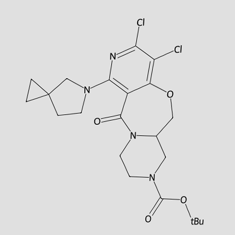 CC(C)(C)OC(=O)N1CCN2C(=O)c3c(N4CCC5(CC5)C4)nc(Cl)c(Cl)c3OCC2C1